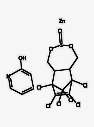 O=S1OCC2C(CO1)C1(Cl)C(Cl)=C(Cl)C2(Cl)C1(Cl)Cl.Oc1ccccn1.[Zn]